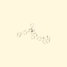 CC1(C)c2cc(-c3ccc(-c4nc(-c5ccccc5)cc(-c5ccc(-c6cccnc6)cc5)n4)c4ccccc34)ccc2-c2ccc3ccccc3c21